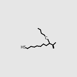 C=C(C)C(CCCCCC)CCCCCCCS